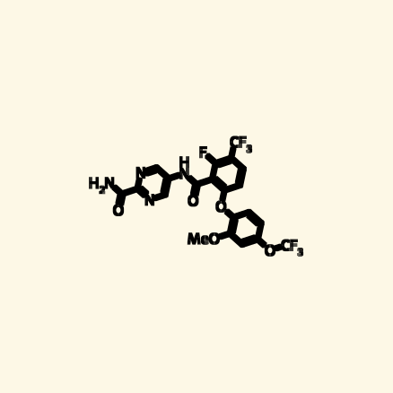 COc1cc(OC(F)(F)F)ccc1Oc1ccc(C(F)(F)F)c(F)c1C(=O)Nc1cnc(C(N)=O)nc1